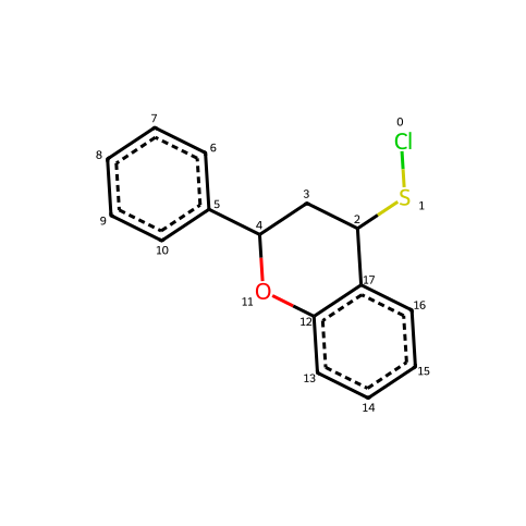 ClSC1CC(c2ccccc2)Oc2ccccc21